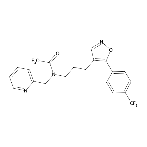 O=C(N(CCCc1cnoc1-c1ccc(C(F)(F)F)cc1)Cc1ccccn1)C(F)(F)F